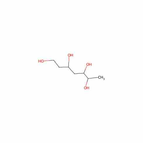 CC(O)C(O)CC(O)CCO